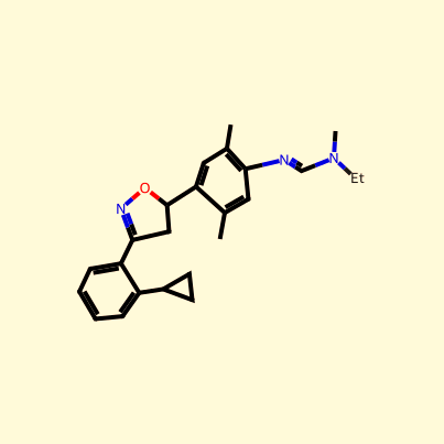 CCN(C)C=Nc1cc(C)c(C2CC(c3ccccc3C3CC3)=NO2)cc1C